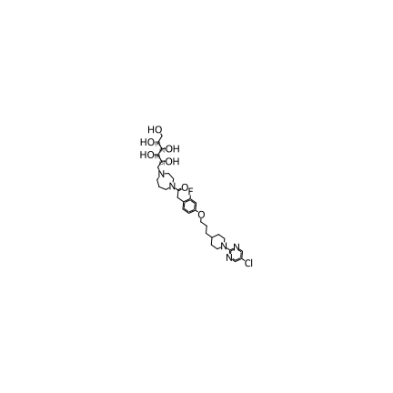 O=C(Cc1ccc(OCCCC2CCN(c3ncc(Cl)cn3)CC2)cc1F)N1CCCN(C[C@H](O)[C@@H](O)[C@H](O)[C@H](O)CO)CC1